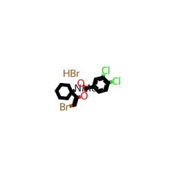 Br.CNC1(C(=CBr)OC(=O)c2ccc(Cl)c(Cl)c2)CCCCC1